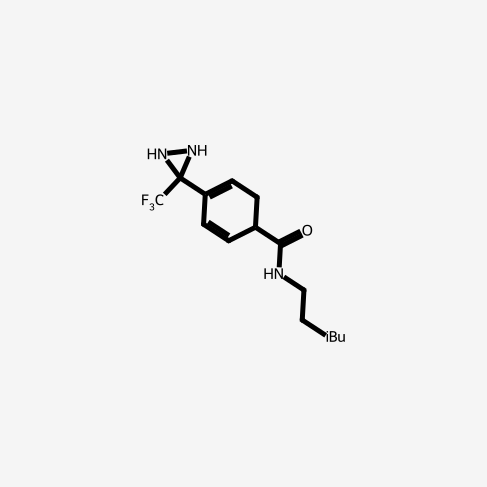 CCC(C)CCNC(=O)C1C=CC(C2(C(F)(F)F)NN2)=CC1